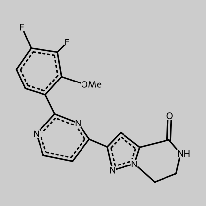 COc1c(-c2nccc(-c3cc4n(n3)CCNC4=O)n2)ccc(F)c1F